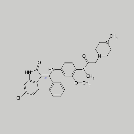 COc1cc(N/C(=C2\C(=O)Nc3cc(Cl)ccc32)c2ccccc2)ccc1N(C)C(=O)CN1CCN(C)CC1